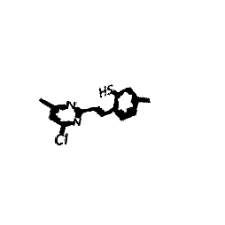 Cc1ccc(C=Cc2nc(C)cc(Cl)n2)c(S)c1